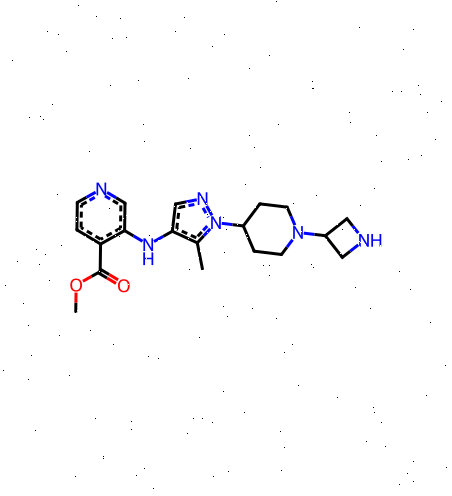 COC(=O)c1ccncc1Nc1cnn(C2CCN(C3CNC3)CC2)c1C